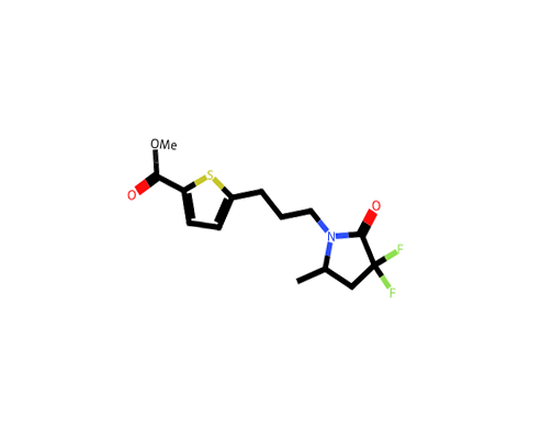 COC(=O)c1ccc(CCCN2C(=O)C(F)(F)CC2C)s1